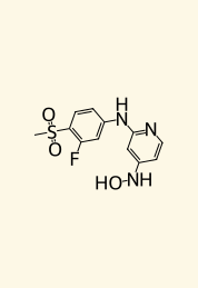 CS(=O)(=O)c1ccc(Nc2cc(NO)ccn2)cc1F